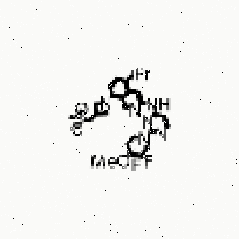 CO[C@@H]1CCN(c2nccc(Nc3cc4c(C(C)C)ccc(N5CC(CS(C)(=O)=O)C5)c4cn3)n2)CC1(F)F